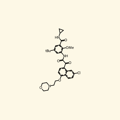 COc1c(NC(=O)C(=O)c2ccc(OCCN3CCOCC3)c3ccc(Cl)cc23)cc(C(C)(C)C)cc1C(=O)NC1CC1